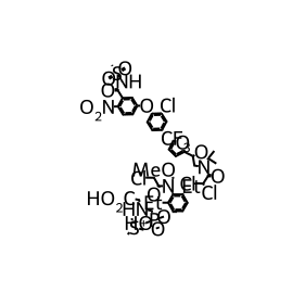 CC1(C)OC(c2ccco2)CN1C(=O)C(Cl)Cl.CCc1cccc(CC)c1N(COC)C(=O)CCl.CS(=O)(=O)NC(=O)c1cc(Oc2ccc(C(F)(F)F)cc2Cl)ccc1[N+](=O)[O-].C[S+](C)C.O=C(O)CNCP(=O)([O-])O